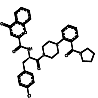 O=C(N[C@H](Cc1ccc(Cl)cc1)C(=O)N1CCN(c2ccccc2C(=O)N2CCCC2)CC1)c1cc(=O)c2ccccc2o1